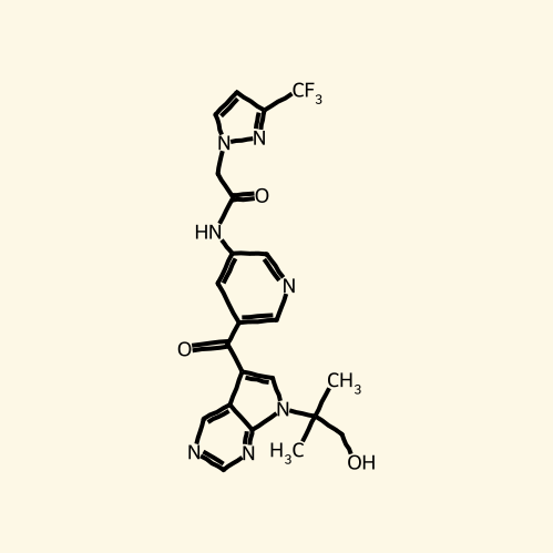 CC(C)(CO)n1cc(C(=O)c2cncc(NC(=O)Cn3ccc(C(F)(F)F)n3)c2)c2cncnc21